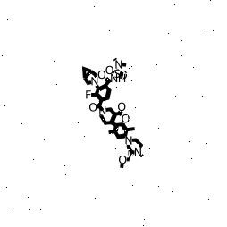 COC[C@H]1CN(c2cc(C)c3c4c(c(=O)oc3c2C)CN(C(=O)c2ccc(C(=O)NS(=O)(=O)N(C)C)c(N3CC5CC5C3)c2F)CC4)CCN1C